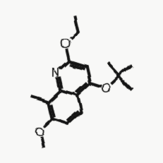 CCOc1cc(OC(C)(C)C)c2ccc(OC)c(C)c2n1